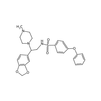 CN1CCN(C(CNS(=O)(=O)c2ccc(Oc3ccccc3)cc2)c2ccc3c(c2)OCO3)CC1